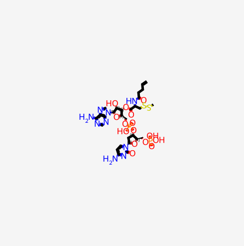 C=CCCC(=O)NC(CSSC)C(=O)O[C@H]1[C@@H](O)[C@H](n2cnc3c(N)ncnc32)O[C@@H]1COP(=O)(O)O[C@H]1C[C@H](n2ccc(N)nc2=O)O[C@@H]1COP(=O)(O)O